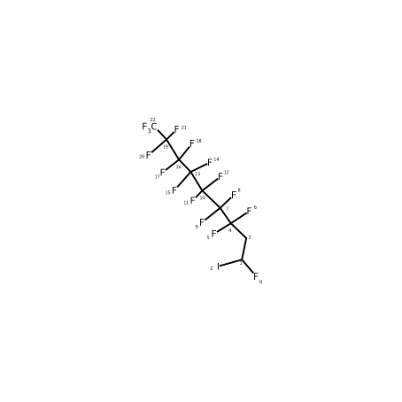 FC(I)CC(F)(F)C(F)(F)C(F)(F)C(F)(F)C(F)(F)C(F)(F)C(F)(F)F